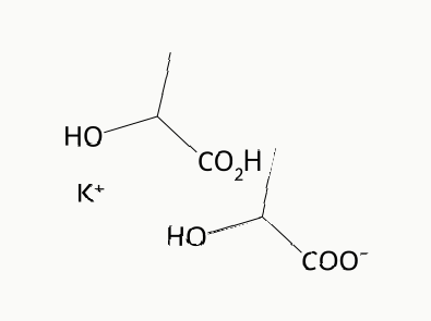 CC(O)C(=O)O.CC(O)C(=O)[O-].[K+]